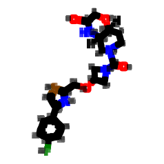 O=C1CO[C@H]2CCN(C(=O)N3CC(OCc4nc(-c5ccc(F)cc5)cs4)C3)C[C@H]2N1